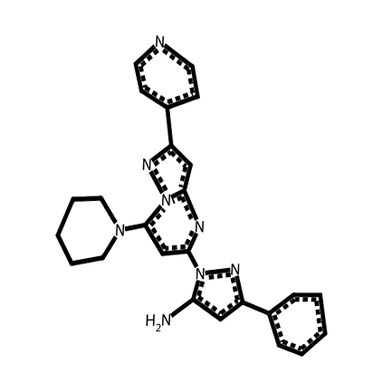 Nc1cc(-c2ccccc2)nn1-c1cc(N2CCCCC2)n2nc(-c3ccncc3)cc2n1